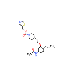 CCCc1ccc(NC(C)=O)cc1OCCC1CCN(C(=O)OCc2cncs2)CC1